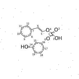 O=S(=O)(O)OC=Cc1ccccc1.Oc1ccccc1